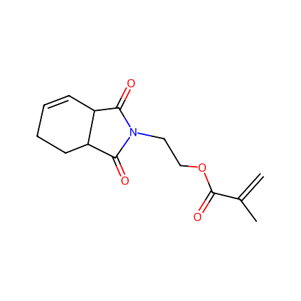 C=C(C)C(=O)OCCN1C(=O)C2C=CCCC2C1=O